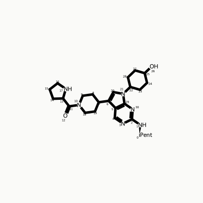 CCC[C@H](C)Nc1ncc2c(C3CCN(C(=O)C4CCCN4)CC3)cn(C3CCC(O)CC3)c2n1